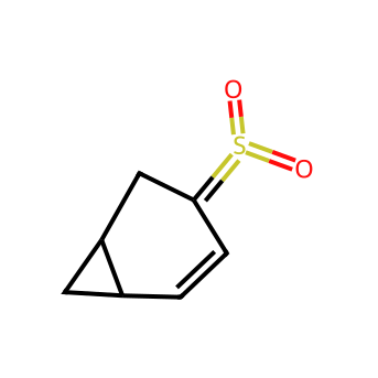 O=S(=O)=C1C=CC2CC2C1